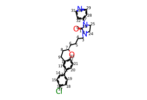 O=C1N(CCCC[C@@H]2CCc3cc(-c4ccc(Cl)cc4)ccc3O2)CCN1c1ccncc1